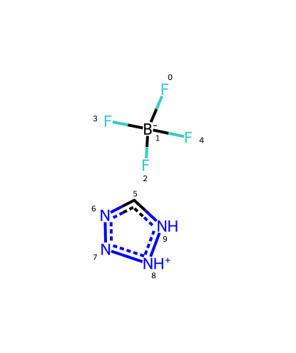 F[B-](F)(F)F.c1nn[nH+][nH]1